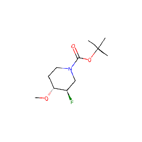 CO[C@@H]1CCN(C(=O)OC(C)(C)C)C[C@H]1F